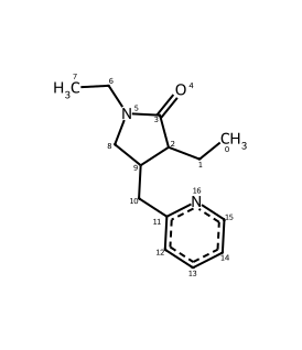 CCC1C(=O)N(CC)CC1Cc1ccccn1